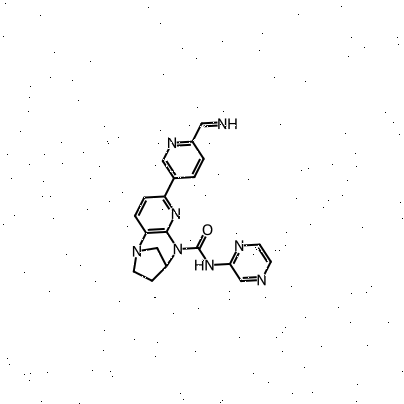 N=Cc1ccc(-c2ccc3c(n2)N(C(=O)Nc2cnccn2)C2CCN3C2)cn1